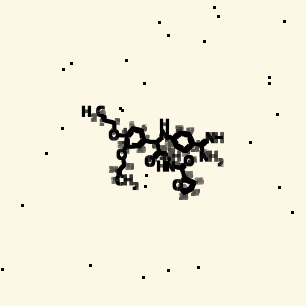 C=CCOc1ccc(C(Nc2ccc(C(=N)N)cc2)C(=O)NNC(=O)c2ccco2)cc1OCC=C